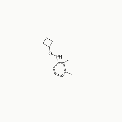 Cc1cccc(POC2CCC2)c1C